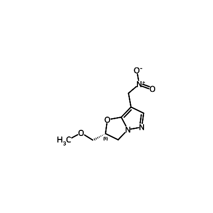 COC[C@H]1Cn2ncc(C[N+](=O)[O-])c2O1